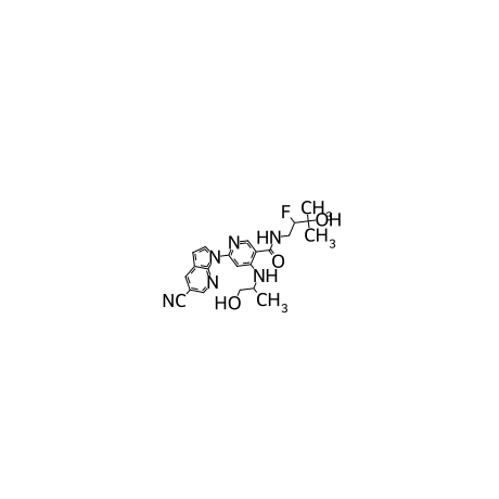 CC(CO)Nc1cc(-n2ccc3cc(C#N)cnc32)ncc1C(=O)NCC(F)C(C)(C)O